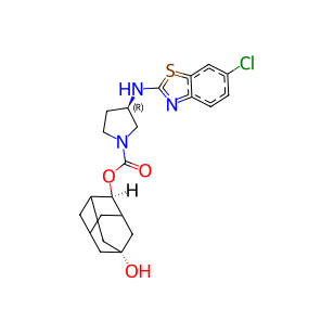 O=C(O[C@H]1C2CC3CC1C[C@](O)(C3)C2)N1CC[C@@H](Nc2nc3ccc(Cl)cc3s2)C1